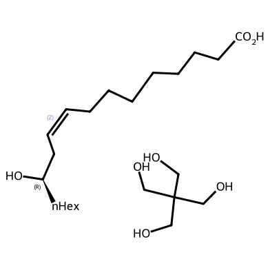 CCCCCC[C@@H](O)C/C=C\CCCCCCCC(=O)O.OCC(CO)(CO)CO